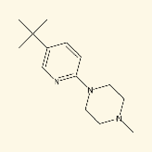 CN1CCN(c2ccc(C(C)(C)C)cn2)CC1